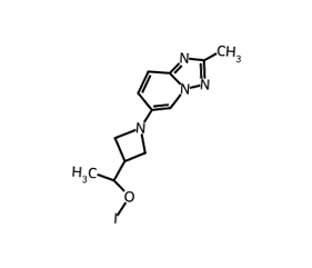 Cc1nc2ccc(N3CC(C(C)OI)C3)cn2n1